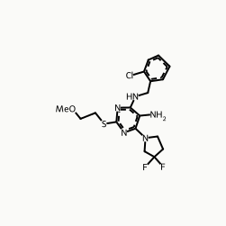 COCCSc1nc(NCc2ccccc2Cl)c(N)c(N2CCC(F)(F)C2)n1